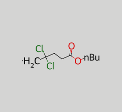 [CH2]C(Cl)(Cl)CCC(=O)OCCCC